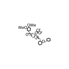 COc1ccc(C(=O)N2CCC3(CCN(Cc4ccccc4OCc4ccccc4)CC3OC(=O)C(F)(F)F)CC2)cc1OC